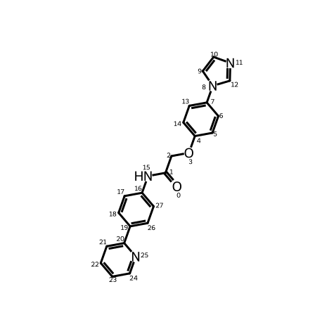 O=C(COc1ccc(-n2ccnc2)cc1)Nc1ccc(-c2ccccn2)cc1